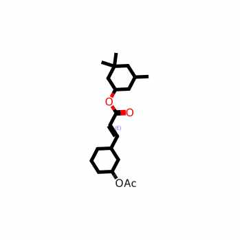 CC(=O)OC1CCCC(/C=C/C(=O)OC2CC(C)CC(C)(C)C2)C1